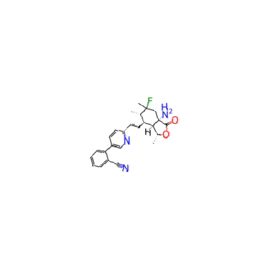 C[C@H]1OC(=O)[C@]2(N)CC(C)(F)[C@@H](C)[C@H](/C=C/c3ccc(-c4ccccc4C#N)cn3)[C@H]12